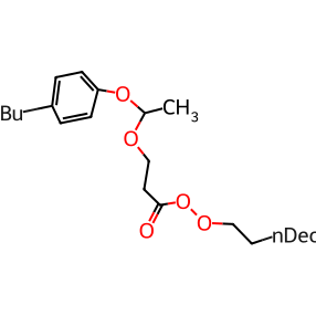 CCCCCCCCCCCCOOC(=O)CCOC(C)Oc1ccc(C(C)CC)cc1